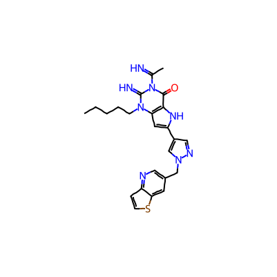 CCCCCn1c(=N)n(C(C)=N)c(=O)c2[nH]c(-c3cnn(Cc4cnc5ccsc5c4)c3)cc21